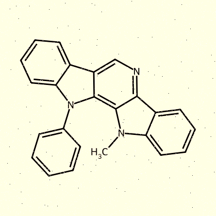 Cn1c2ccccc2c2ncc3c4ccccc4n(-c4ccccc4)c3c21